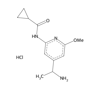 COc1cc(C(C)N)cc(NC(=O)C2CC2)n1.Cl